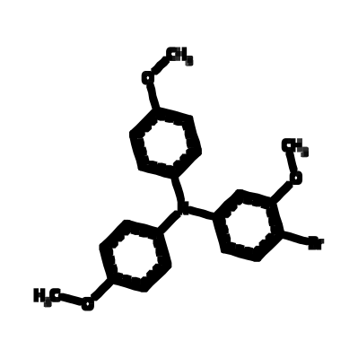 COc1ccc(N(c2ccc(OC)cc2)c2ccc(Br)c(OC)c2)cc1